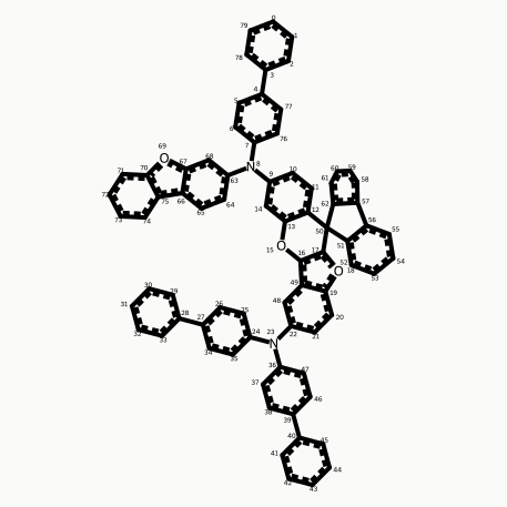 c1ccc(-c2ccc(N(c3ccc4c(c3)Oc3c(oc5ccc(N(c6ccc(-c7ccccc7)cc6)c6ccc(-c7ccccc7)cc6)cc35)C43c4ccccc4-c4ccccc43)c3ccc4c(c3)oc3ccccc34)cc2)cc1